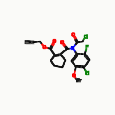 C#CCOC(=O)C1=C(C(=O)N(C(=O)CCl)c2cc(OC(C)C)c(Cl)cc2F)CCCC1